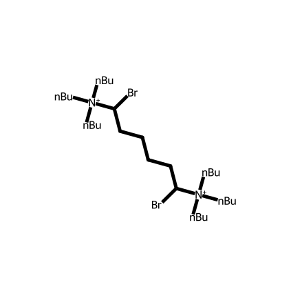 CCCC[N+](CCCC)(CCCC)C(Br)CCCCC(Br)[N+](CCCC)(CCCC)CCCC